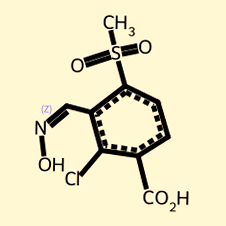 CS(=O)(=O)c1ccc(C(=O)O)c(Cl)c1/C=N\O